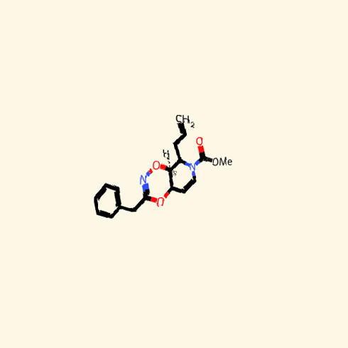 C=CCC1[C@@H]2ON=C(Cc3ccccc3)OC2C=CN1C(=O)OC